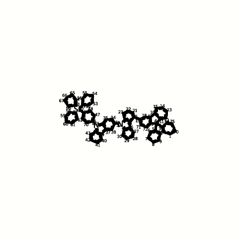 c1ccc(C2(c3ccccc3)c3ccccc3-c3cc(-c4cccc5c4c4ccccc4n5-c4ccc5c(c4)c4ccccc4n5-c4ccc([Si](c5ccccc5)(c5ccccc5)c5ccccc5)cc4)ccc32)cc1